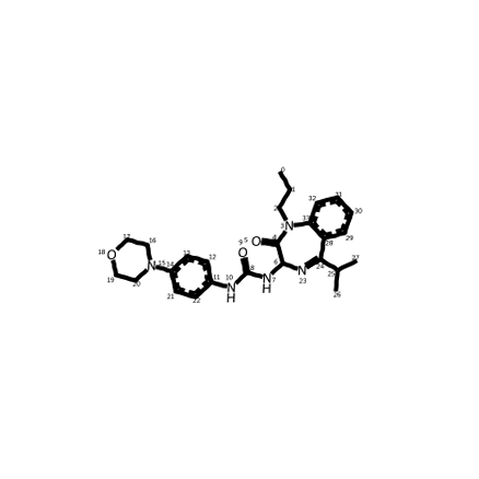 CCCN1C(=O)C(NC(=O)Nc2ccc(N3CCOCC3)cc2)N=C(C(C)C)c2ccccc21